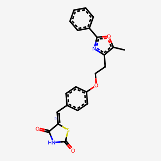 Cc1oc(-c2ccccc2)nc1CCOc1ccc(/C=C2\SC(=O)NC2=O)cc1